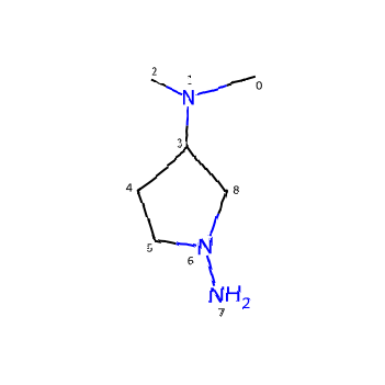 CN(C)C1CCN(N)C1